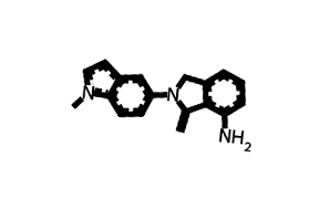 C=C1c2c(N)cccc2CN1c1ccc2c(ccn2C)c1